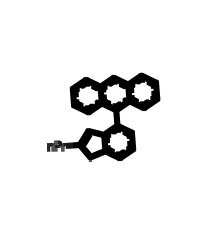 CCCC1=Cc2c(cccc2-c2c3ccccc3cc3ccccc23)[CH]1